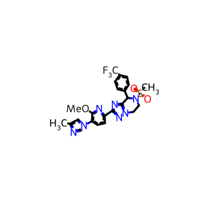 COc1nc(-c2nc3n(n2)CCN(S(C)(=O)=O)C3c2ccc(C(F)(F)F)cc2)ccc1-n1cnc(C)c1